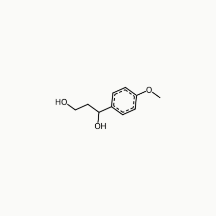 COc1ccc(C(O)CCO)cc1